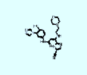 N#Cc1cnc2c(NCCN3CCOCC3)cc(Nc3ccc(O)c(-n4cnnc4)c3)nn12